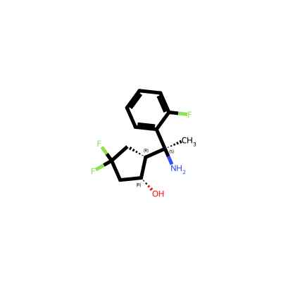 C[C@@](N)(c1ccccc1F)[C@H]1CC(F)(F)C[C@H]1O